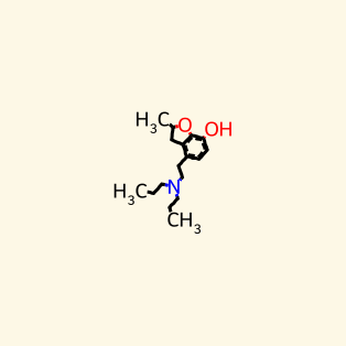 CCCN(CCC)CCc1ccc(O)c2c1CC(C)O2